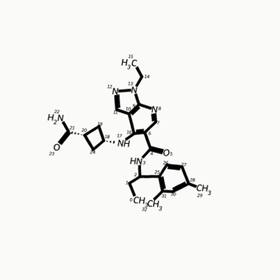 CCC(NC(=O)c1cnc2c(cnn2CC)c1N[C@H]1C[C@@H](C(N)=O)C1)c1ccc(C)cc1C